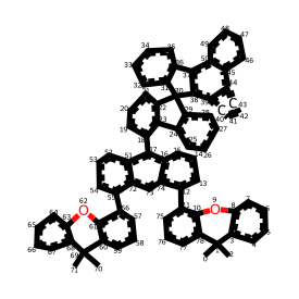 CC1(C)c2ccccc2Oc2c(-c3cccc4c(-c5cccc6c5-c5ccccc5C65c6ccccc6-c6c5c5ccccc5c5ccccc65)c5cccc(-c6cccc7c6Oc6ccccc6C7(C)C)c5cc34)cccc21